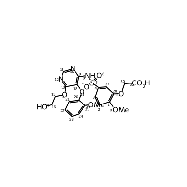 COc1ccc(S(=O)(=O)Nc2ncnc(OCCO)c2Oc2ccccc2OC)cc1OCC(=O)O